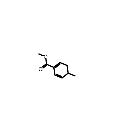 COC(=O)C1=CCC(C)C=C1